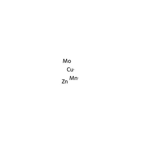 [Cu].[Mn].[Mo].[Zn]